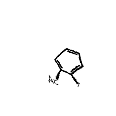 CC(=O)c1ccccc1I